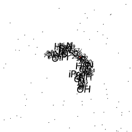 CC(C)[C@H](NC(=O)N1CCCC1)C(=O)N1CCC[C@H]1c1ncc(-c2ccc(C34CCC(c5cnc([C@@H]6CCCN6C(=O)[C@@H](NC(=O)N6CC[C@@H](O)C6)C(C)C)[nH]5)(CC3)CC4)cc2)[nH]1